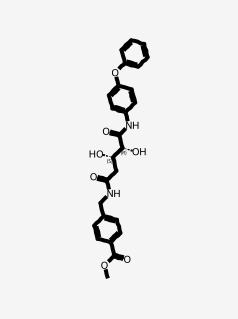 COC(=O)c1ccc(CNC(=O)C[C@H](O)[C@@H](O)C(=O)Nc2ccc(Oc3ccccc3)cc2)cc1